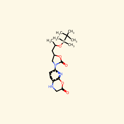 CC(CC1CN(c2ccc3c(n2)OC(=O)CN3)C(=O)O1)O[Si](C)(C)C(C)(C)C